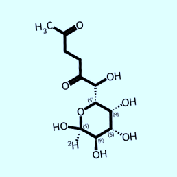 [2H][C@]1(O)O[C@H](C(O)C(=O)CCC(C)=O)[C@H](O)[C@H](O)[C@H]1O